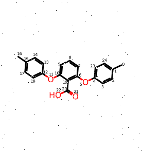 Cc1ccc(Oc2cccc(Oc3ccc(C)cc3)c2C(=O)O)cc1